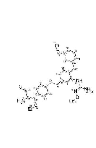 CCON=C(N)Nc1cc(CCc2ccc(N(OCC)C(N)=NC)cc2)ccc1Cc1cccc(OCC)c1